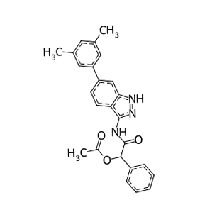 CC(=O)OC(C(=O)Nc1n[nH]c2cc(-c3cc(C)cc(C)c3)ccc12)c1ccccc1